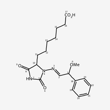 COC(C=NN1C(=O)NC(=O)C1CCCCCCC(=O)O)c1ccccc1